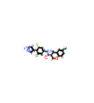 O=C(Nc1cc(F)c(-c2cn[nH]c2)c(F)c1)C1COc2ccc(Cl)cc2C1